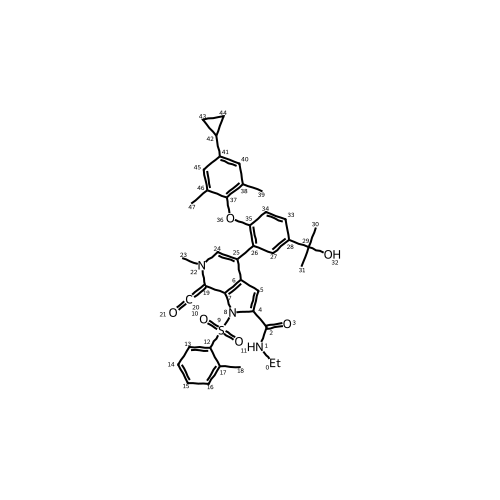 CCNC(=O)c1cc2c(n1S(=O)(=O)c1ccccc1C)C(=C=O)N(C)C=C2c1cc(C(C)(C)O)ccc1Oc1c(C)cc(C2CC2)cc1C